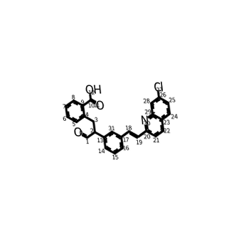 O=CC(Cc1ccccc1C(=O)O)c1cccc(C=Cc2ccc3ccc(Cl)cc3n2)c1